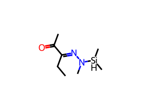 CCC(=NN(C)[SiH](C)C)C(C)=O